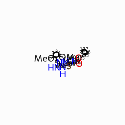 COc1cccc(OC)c1CNC(=N)Nc1nc2c(s1)CN(C(=O)OCc1ccccc1)CC2